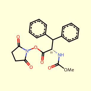 COC(=O)N[C@H](C(=O)ON1C(=O)CCC1=O)C(c1ccccc1)c1ccccc1